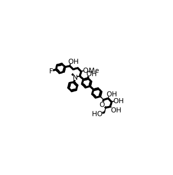 CO[C@H](CC[C@H](O)c1ccc(F)cc1)[C@@H](c1ccc(-c2ccc([C@@H]3O[C@H](CO)[C@@H](O)[C@H](O)[C@H]3O)cc2)cc1O)N(C)c1ccccc1